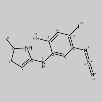 CC1CC=C(Nc2cc(N=[N+]=[N-])c(I)cc2Cl)N1